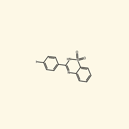 O=S1(=O)NC(c2ccc(I)cc2)=Nc2ccccc21